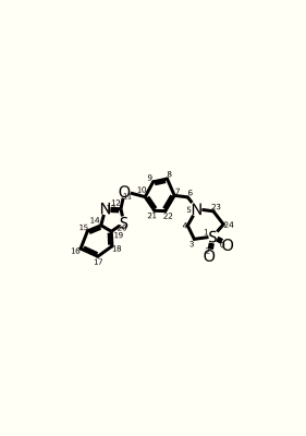 O=S1(=O)CCN(Cc2ccc(Oc3nc4ccccc4s3)cc2)CC1